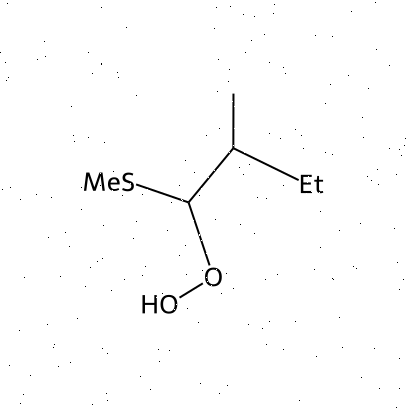 CCC(C)C(OO)SC